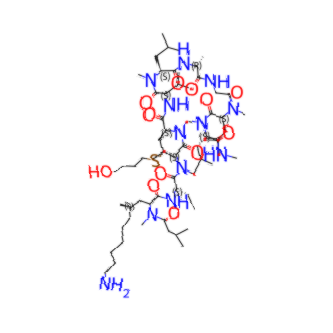 CC[C@H](NC(=O)C(C[C@H](C)CCCCCCN)N(C)C(=O)CC(C)C)C(=O)N(C)[C@H](CSCCCCO)C(=O)N(C)[C@@H](CC(C)C)C(=O)N[C@H](C(=O)N(C)[C@@H](CC(C)C)C(=O)N[C@H](C)C(=O)NCC(=O)N(C)[C@@H](CC(C)C)C(=O)N(C)[C@@H](CC(C)C)C(=O)NC)C(C)C